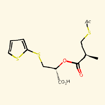 CC(=O)SC[C@@H](C)C(=O)O[C@@H](CSc1cccs1)C(=O)O